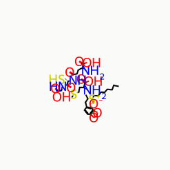 CCCCCCCC[S+]([O-])C(C)Cc1ccc2c(c1)OCO2.CSCC[C@H](N)C(=O)O.N[C@@H](CCC(=O)N[C@@H](CS)C(=O)NCC(=O)O)C(=O)O